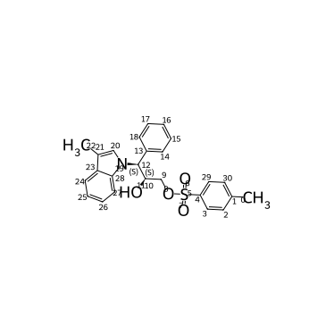 Cc1ccc(S(=O)(=O)OC[C@@H](O)[C@H](c2ccccc2)n2cc(C)c3ccccc32)cc1